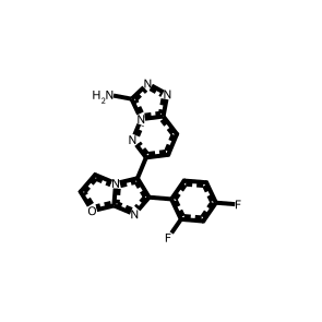 Nc1nnc2ccc(-c3c(-c4ccc(F)cc4F)nc4occn34)nn12